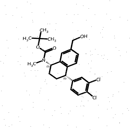 CN(C(=O)OC(C)(C)C)[C@H]1CC[C@@H](c2ccc(Cl)c(Cl)c2)c2ccc(CO)cc21